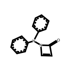 O=C1C=CN1N(c1ccccc1)c1ccccc1